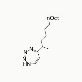 CCCCCCCCCCCCC(C)C1=NN=NNC=C1